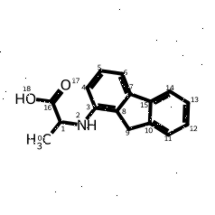 CC(Nc1cccc2c1Cc1ccccc1-2)C(=O)O